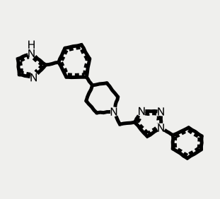 c1ccc(-n2cc(CN3CCC(c4cccc(-c5ncc[nH]5)c4)CC3)nn2)cc1